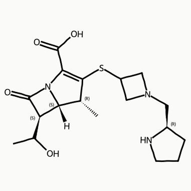 CC(O)[C@H]1C(=O)N2C(C(=O)O)=C(SC3CN(C[C@H]4CCCN4)C3)[C@H](C)[C@H]12